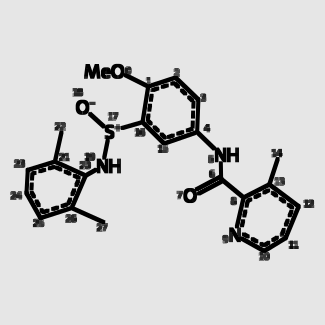 COc1ccc(NC(=O)c2ncccc2C)cc1[S+]([O-])Nc1c(C)cccc1C